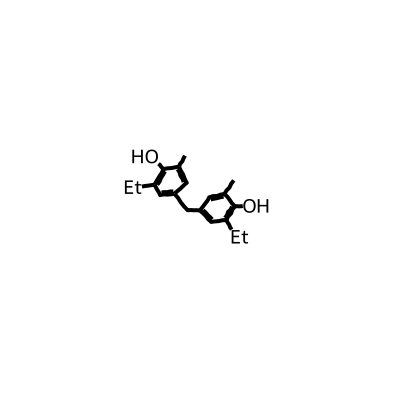 CCc1cc(Cc2cc(C)c(O)c(CC)c2)cc(C)c1O